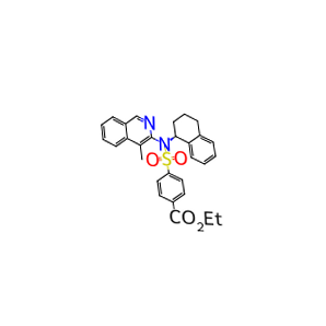 CCOC(=O)c1ccc(S(=O)(=O)N(c2ncc3ccccc3c2C)[C@H]2CCCc3ccccc32)cc1